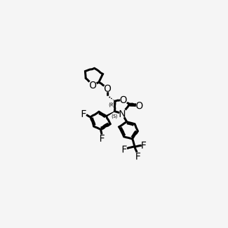 O=C1O[C@@H](COC2CCCCO2)[C@H](c2cc(F)cc(F)c2)N1c1ccc(C(F)(F)F)cc1